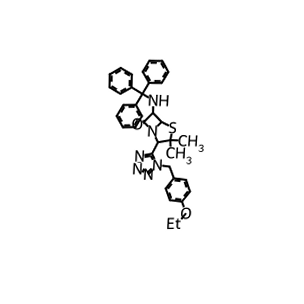 CCOc1ccc(Cn2nnnc2C2N3C(=O)C(NC(c4ccccc4)(c4ccccc4)c4ccccc4)C3SC2(C)C)cc1